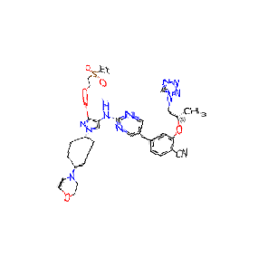 CCS(=O)(=O)CCOc1nn([C@H]2CC[C@H](N3CCOCC3)CC2)cc1Nc1ncc(-c2ccc(C#N)c(O[C@@H](C)Cn3cnnn3)c2)cn1